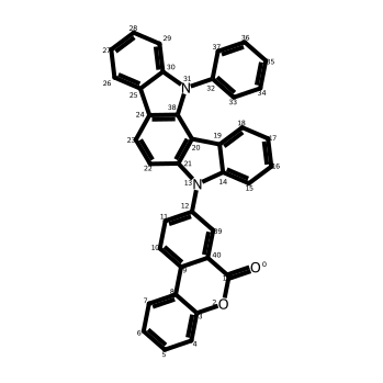 O=c1oc2ccccc2c2ccc(-n3c4ccccc4c4c3ccc3c5ccccc5n(-c5ccccc5)c34)cc12